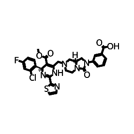 COC(=O)C1=C(CN2CCN3C(=O)N(c4cccc(C(=O)O)c4)C[C@@H]3C2)NC(c2nccs2)=N[C@H]1c1ccc(F)cc1Cl